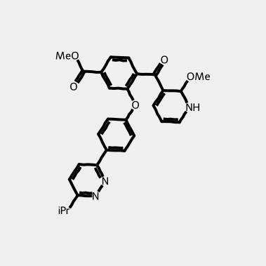 COC(=O)c1ccc(C(=O)C2=CC=CNC2OC)c(Oc2ccc(-c3ccc(C(C)C)nn3)cc2)c1